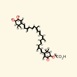 CC(C=CC=C(C)C=CC1=C(C)C(=O)C([O])CC1(C)C)=CC=CC=C(C)C=CC=C(C)C=CC1=C(C)C(=O)C(OCC(=O)O)CC1(C)C